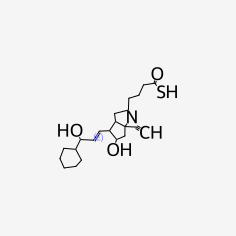 C#CC12CC(O)C(/C=C/C(O)C3CCCCC3)C1CC(CCCC(=O)S)=N2